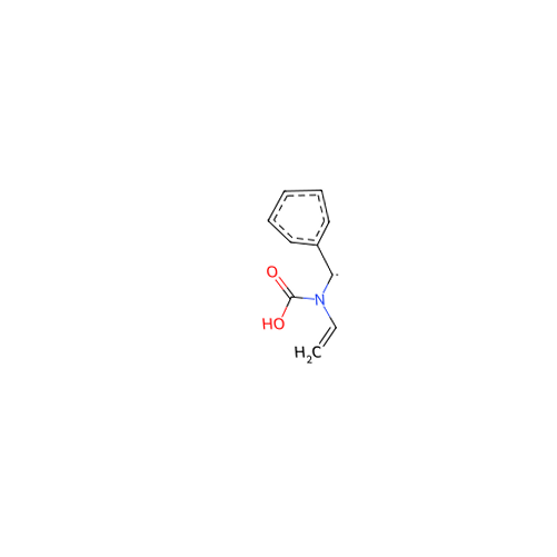 C=CN([CH]c1ccccc1)C(=O)O